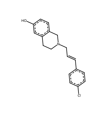 Oc1ccc2c(c1)CCN(C/C=C/c1ccc(Cl)cc1)C2